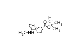 C=C(NC)C1CCN(C(=O)OC(C)(C)C)C1